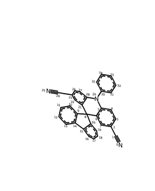 N#Cc1ccc2c(c1)C1(c3ccccc3-c3ccccc31)c1cc(C#N)ccc1N2c1ccccc1